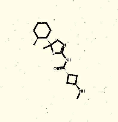 CN[C@H]1C[C@H](C(=O)NC2=NCC(C)([C@H]3CCCC[C@@H]3C)S2)C1